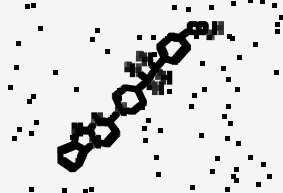 [2H]C([2H])(c1ccc(C(=O)O)cc1)C([2H])([2H])C1CCN(c2ccn3c(n2)nc2ccccc23)CC1